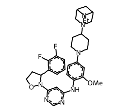 CCN1C2CC1CN(C1CCN(c3ccc(Nc4cc(N5OCCC5c5cccc(F)c5F)ncn4)c(OC)c3)CC1)C2